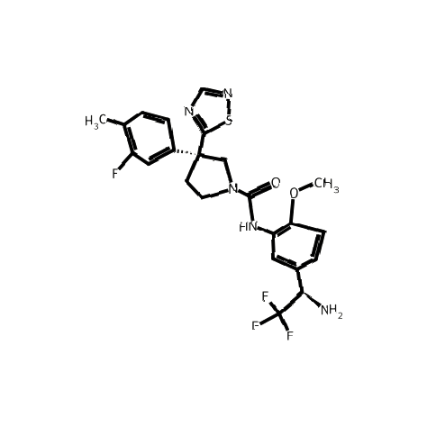 COc1ccc([C@@H](N)C(F)(F)F)cc1NC(=O)N1CC[C@@](c2ccc(C)c(F)c2)(c2ncns2)C1